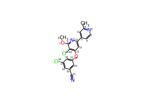 COc1nc(-c2ccnc(C)c2)cc(Oc2cc(Cl)cc(C#N)c2)c1Cl